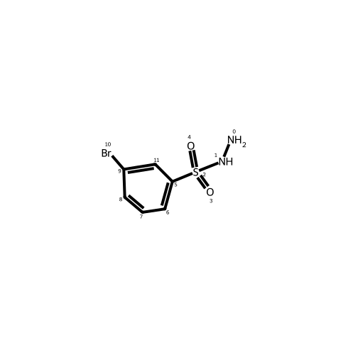 NNS(=O)(=O)c1cccc(Br)c1